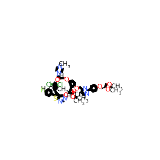 Cc1c(Cl)c2c(Cl)c(C)c1-c1c(-c3ccc(F)cc3)sc3ncnc(c13)O[C@@H](C(=O)OC(C)(C)C)Cc1cc(ccc1OCc1ccnc(-c3ccc(OC[C@H]4COC(C)(C)O4)cc3)n1)OC[C@@H](CN1CCN(C)CC1)O2